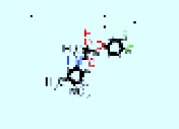 Cc1cc(NC(=O)C(C)(O)COc2ccc(F)c(F)c2)ccc1[N+](=O)[O-]